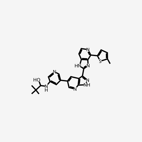 Cc1ccc(-c2nccc3[nH]c(-c4n[nH]c5ncc(-c6cncc(NC(O)C(C)(C)C)c6)cc45)nc23)s1